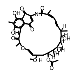 CO[C@H]1/C=C/OC(C)C(=O)c2c(O)c(C)c(O)c3c2C(=O)C=C(NC(=O)/C(C)=C\C=C\[C@H](C)[C@H](O)[C@@H](C)[C@@H](O)[C@@H](C)[C@H](OC(C)=O)C1)C3=O